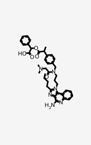 CCCCc1nc2c(N)nc3ccccc3c2n1CCCN(Cc1ccc(C(C)C(=O)OC(C(=O)O)c2ccccc2)cc1)C(=O)CN(C)C